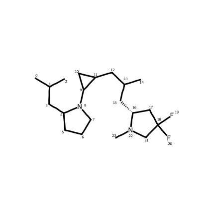 CC(C)CC1CCCN1C1CC1CC(C)C[C@@H]1CC(F)(F)CN1C